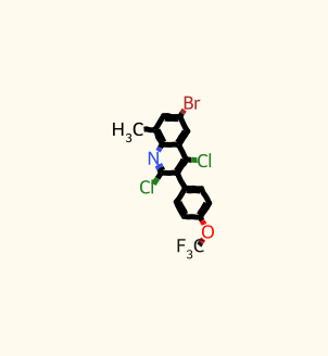 Cc1cc(Br)cc2c(Cl)c(-c3ccc(OC(F)(F)F)cc3)c(Cl)nc12